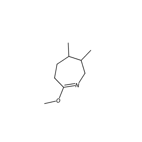 COC1=NCC(C)C(C)CC1